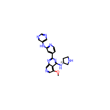 COc1cncc2nc(-c3ccnc(Nc4cncnc4)c3)nc(N[C@@H]3CCNC3)c12